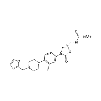 CNC(=S)NC[C@H]1CN(c2ccc(C3CCN(Cc4ccco4)CC3)c(F)c2)C(=O)O1